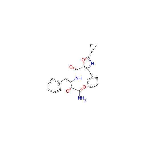 NC(=O)C(=O)C(Cc1ccccc1)NC(=O)c1oc(C2CC2)nc1-c1ccccc1